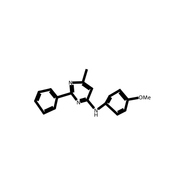 COc1ccc(Nc2cc(C)nc(-c3ccccc3)n2)cc1